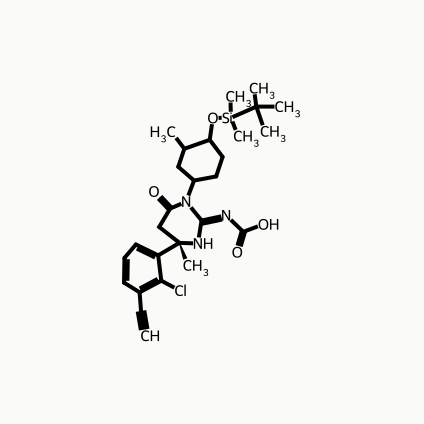 C#Cc1cccc([C@]2(C)CC(=O)N(C3CCC(O[Si](C)(C)C(C)(C)C)C(C)C3)/C(=N/C(=O)O)N2)c1Cl